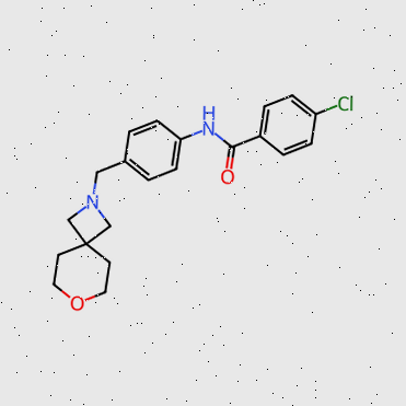 O=C(Nc1ccc(CN2CC3(CCOCC3)C2)cc1)c1ccc(Cl)cc1